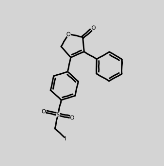 O=C1OCC(c2ccc(S(=O)(=O)CI)cc2)=C1c1ccccc1